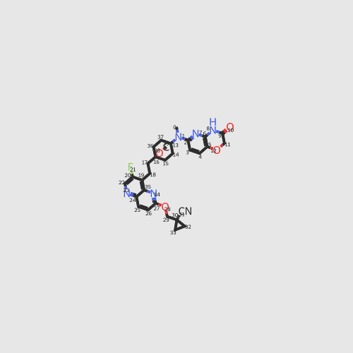 CN(c1ccc2c(n1)NC(=O)CO2)C12CCC(CCc3c(F)cnc4ccc(OCC5(C#N)CC5)nc34)(CC1)OC2